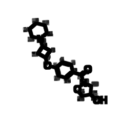 O=C(c1ccc(OC2CC(N3CCCCC3)C2)cc1)N1CC(O)CO1